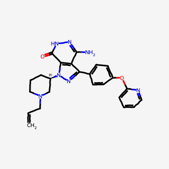 C=CCN1CCC[C@@H](n2nc(-c3ccc(Oc4ccccn4)cc3)c3c(N)n[nH]c(=O)c32)C1